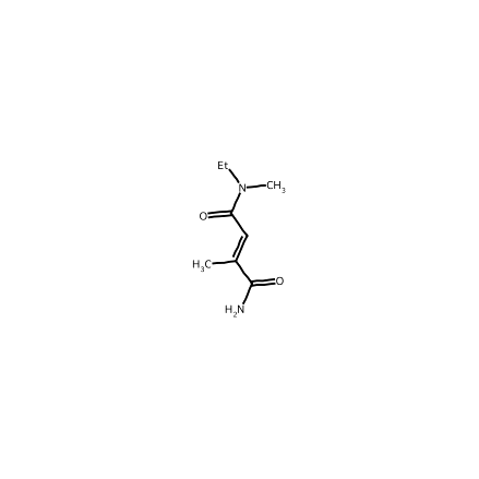 CCN(C)C(=O)/C=C(\C)C(N)=O